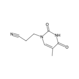 Cc1cn(CCC#N)c(=O)[nH]c1=O